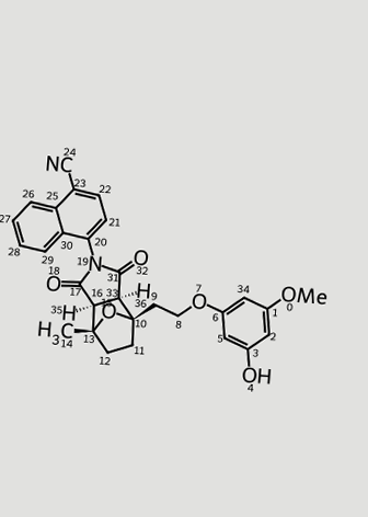 COc1cc(O)cc(OCC[C@@]23CC[C@@](C)(O2)[C@H]2C(=O)N(c4ccc(C#N)c5ccccc45)C(=O)[C@H]23)c1